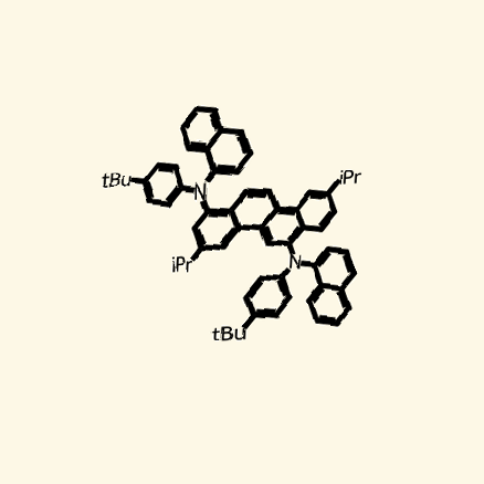 CC(C)c1ccc2c(N(c3ccc(C(C)(C)C)cc3)c3cccc4ccccc34)cc3c4cc(C(C)C)cc(N(c5ccc(C(C)(C)C)cc5)c5cccc6ccccc56)c4ccc3c2c1